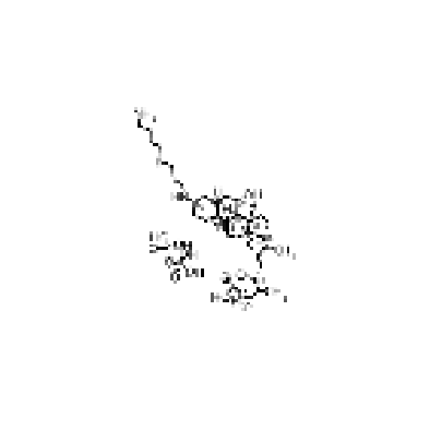 CC(C)[C@@H](CC[C@@H](C)[C@H]1CC[C@H]2[C@@H]3[C@H](O)C[C@H]4C[C@@H](NCCCNCCCCN)CC[C@]4(C)[C@H]3CC[C@]12C)OS(=O)(=O)O.O=P(O)(O)OP(=O)(O)O